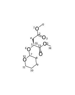 COC(=O)C[C@H](OC1CCCCO1)C(=O)OC